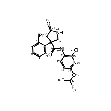 CC(C)c1ccccc1C1(C(=O)Nc2ccc(OC(F)F)nc2Cl)CNC(=O)C1